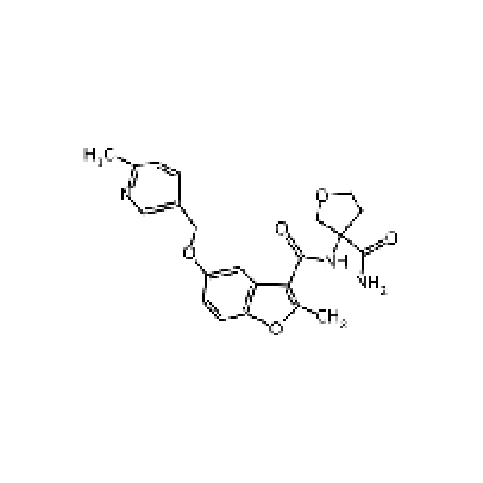 Cc1ccc(COc2ccc3oc(C)c(C(=O)NC4(C(N)=O)CCOC4)c3c2)cn1